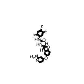 Nc1cc(Oc2ccc3c(c2)[C@H]2[C@H](NC(=O)Nc4cc(F)c(F)cc4F)[C@H]2O3)ccn1